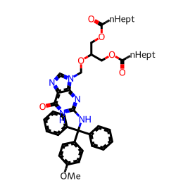 CCCCCCCC(=O)OCC(COC(=O)CCCCCCC)OCn1cnc2c(=O)[nH]c(NC(c3ccccc3)(c3ccccc3)c3ccc(OC)cc3)nc21